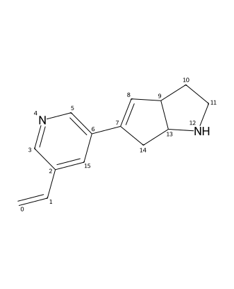 C=Cc1cncc(C2=CC3CCNC3C2)c1